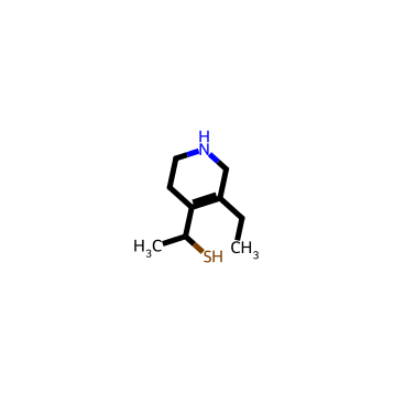 CCC1=C(C(C)S)CCNC1